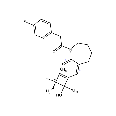 C/C=C1\C(=C/C2=C[C@@](C)(F)C2(O)C(F)(F)F)CCCCN1C(=O)Cc1ccc(F)cc1